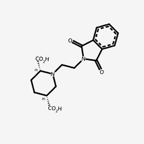 O=C(O)[C@@H]1CC[C@H](C(=O)O)N(CCN2C(=O)c3ccccc3C2=O)C1